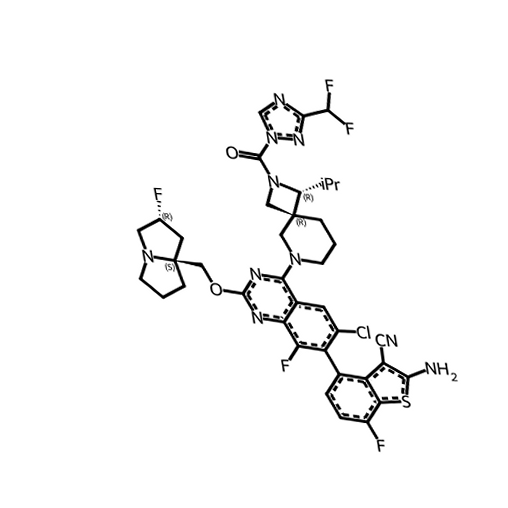 CC(C)[C@H]1N(C(=O)n2cnc(C(F)F)n2)C[C@]12CCCN(c1nc(OC[C@@]34CCCN3C[C@H](F)C4)nc3c(F)c(-c4ccc(F)c5sc(N)c(C#N)c45)c(Cl)cc13)C2